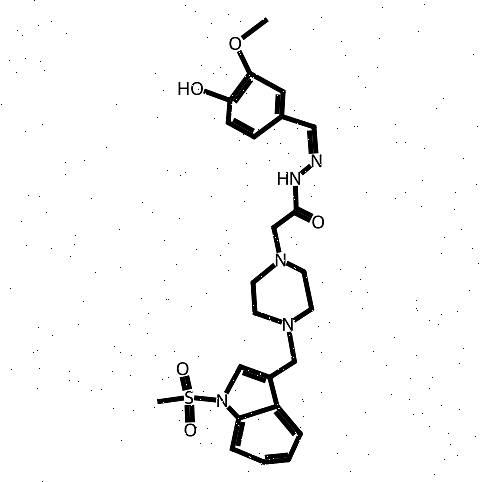 COc1cc(/C=N\NC(=O)CN2CCN(Cc3cn(S(C)(=O)=O)c4ccccc34)CC2)ccc1O